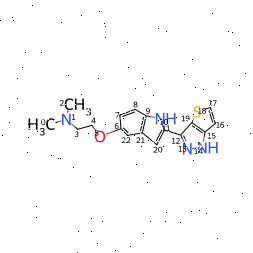 CN(C)CCOc1ccc2[nH]c(-c3n[nH]c4ccsc34)cc2c1